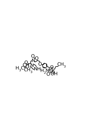 CCCCS(=O)(=O)C(N)(Cc1ccc(OCC2CN(CC(C(=O)OC(C)(C)C)N3CCNCC3)C(=O)O2)cc1)C(=O)O